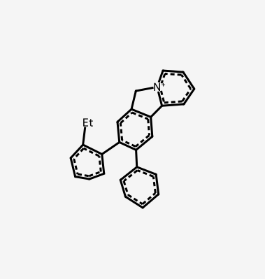 CCc1ccccc1-c1cc2c(cc1-c1ccccc1)-c1cccc[n+]1C2